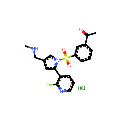 CNCc1cc(-c2cccnc2F)n(S(=O)(=O)c2cccc(C(C)=O)c2)c1.Cl